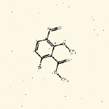 COC(=O)c1c(Br)ccc(C=O)c1OC